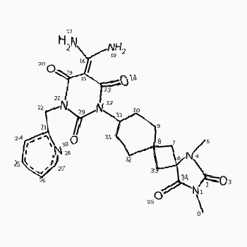 CN1C(=O)N(C)C2(CC3(CCC(N4C(=O)C(=C(N)N)C(=O)N(Cc5ccccn5)C4=O)CC3)C2)C1=O